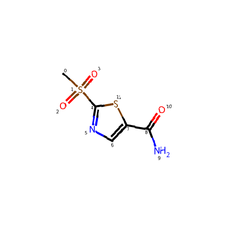 CS(=O)(=O)c1ncc(C(N)=O)s1